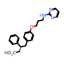 O=C(O)C[C@H](Cc1ccc(OCCCNc2ncccn2)cc1)c1ccccc1